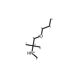 CCCOCC(C)(C)NC